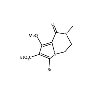 CCOC(=O)c1c(OC)c2n(c1Br)CCN(C)C2=O